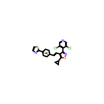 Clc1cncc(Cl)c1-c1noc(C2CC2)c1C=CC12CCC(c3nccs3)(CC1)CC2